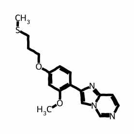 COc1cc(OCCCSC)ccc1-c1cn2cnccc2n1